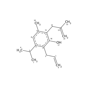 C=CCc1c(C(C)C)cc(C)c(CC(=C)C)c1O